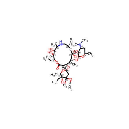 CC[C@H]1OC(=O)[C@H](C)[C@@H](O[C@H]2C[C@@](C)(OC)[C@](O)(CC)[C@H](C)O2)[C@H](C)[C@@H](O[C@@H]2O[C@H](C)C[C@H](N(C)C)[C@H]2O)[C@](C)(O)C[C@@H](C)CN[C@H](C)[C@@H](O)[C@]1(C)O